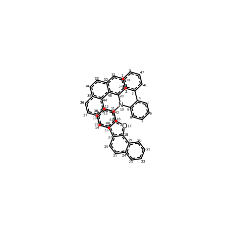 c1ccc(-c2ccccc2N(c2cccc3c2oc2c4ccccc4ccc32)c2cccc3ccc4ccc5ccccc5c4c23)cc1